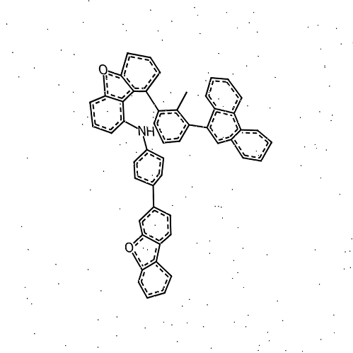 Cc1c(-c2cc3ccccc3c3ccccc23)cccc1-c1cccc2oc3cccc(Nc4ccc(-c5ccc6c(c5)oc5ccccc56)cc4)c3c12